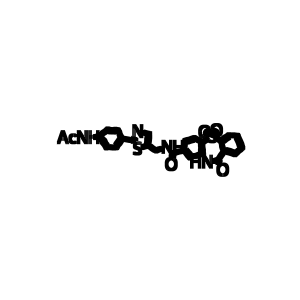 CC(=O)Nc1ccc(-c2ncc(CNC(=O)c3ccc4c(c3)NC(=O)c3ccccc3S4(=O)=O)s2)cc1